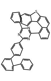 c1ccc(-c2nc(-c3ccc(-c4ccccc4-c4ccccc4)cc3)nc(-c3cccc4ccc5sc6ccccc6c5c34)n2)cc1